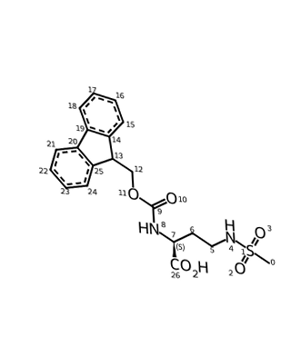 CS(=O)(=O)NCC[C@H](NC(=O)OCC1c2ccccc2-c2ccccc21)C(=O)O